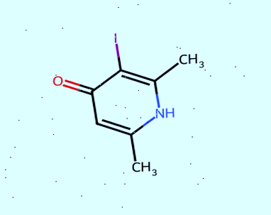 Cc1cc(=O)c(I)c(C)[nH]1